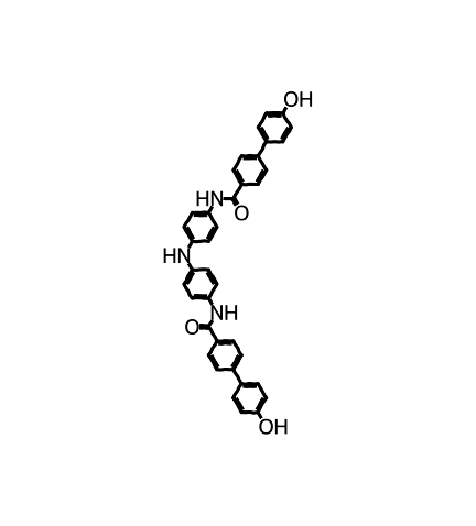 O=C(Nc1ccc(Nc2ccc(NC(=O)c3ccc(-c4ccc(O)cc4)cc3)cc2)cc1)c1ccc(-c2ccc(O)cc2)cc1